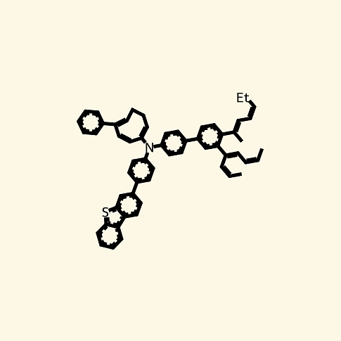 C\C=C/C=C(\C=C/C)c1cc(-c2ccc(N(C3=C/CC/C=C(c4ccccc4)/C=C\3)c3ccc(-c4ccc5c(c4)sc4ccccc45)cc3)cc2)ccc1/C(C)=C/C=C\CC